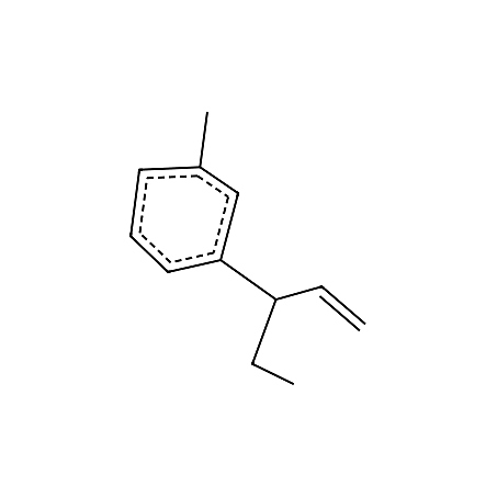 C=CC(CC)c1cccc(C)c1